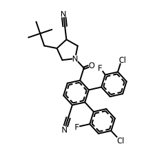 CC(C)(C)CC1CN(C(=O)c2ccc(C#N)c(-c3ccc(Cl)cc3F)c2-c2cccc(Cl)c2F)CC1C#N